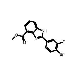 COC(=O)c1cccc2[nH]c(-c3ccc(Br)c(F)c3)nc12